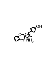 CC(Cc1ccc(O)cc1)[C@@H](N)C1(O)COc2ccccc2OC1